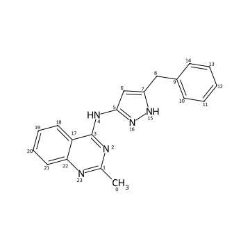 Cc1nc(Nc2cc(Cc3ccccc3)[nH]n2)c2ccccc2n1